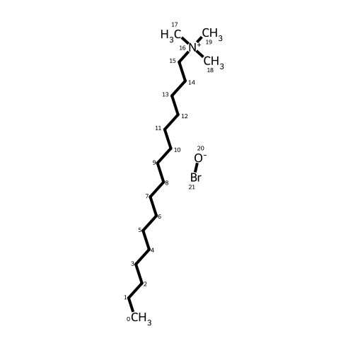 CCCCCCCCCCCCCCCC[N+](C)(C)C.[O-]Br